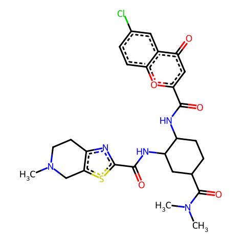 CN1CCc2nc(C(=O)NC3CC(C(=O)N(C)C)CCC3NC(=O)c3cc(=O)c4cc(Cl)ccc4o3)sc2C1